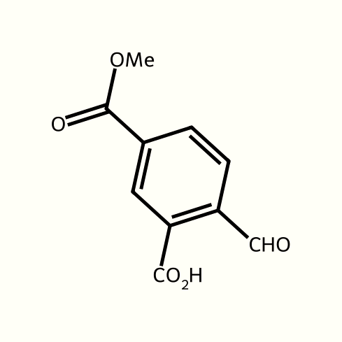 COC(=O)c1ccc(C=O)c(C(=O)O)c1